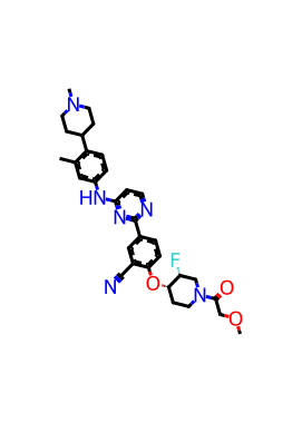 COCC(=O)N1CC[C@H](Oc2ccc(-c3nccc(Nc4ccc(C5CCN(C)CC5)c(C)c4)n3)cc2C#N)[C@H](F)C1